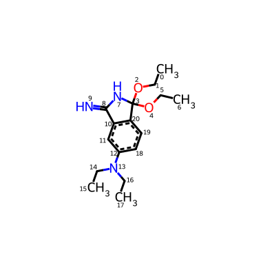 CCOC1(OCC)NC(=N)c2cc(N(CC)CC)ccc21